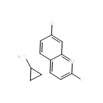 Clc1ccc2ccc(Br)cc2n1.NC1CC1